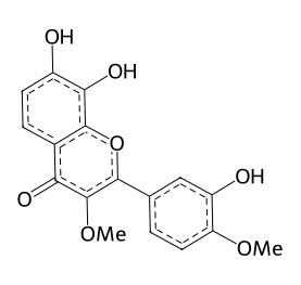 COc1ccc(-c2oc3c(O)c(O)ccc3c(=O)c2OC)cc1O